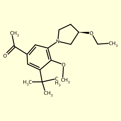 CCO[C@@H]1CCN(c2cc(C(C)=O)cc(C(C)(C)C)c2OC)C1